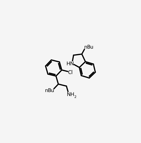 CCCCC(CN)c1ccccc1Cl.CCCCC1CNc2ccccc21